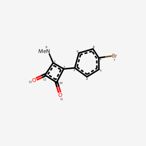 CNc1c(-c2ccc(Br)cc2)c(=O)c1=O